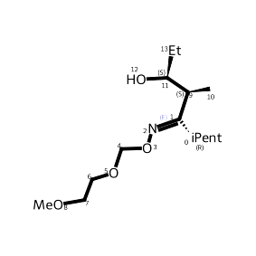 CCC[C@@H](C)/C(=N\OCOCCOC)[C@H](C)[C@@H](O)CC